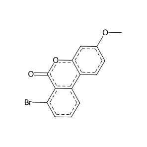 COc1ccc2c(c1)oc(=O)c1c(Br)cccc12